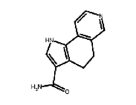 NC(=O)c1c[nH]c2c1CCc1cnccc1-2